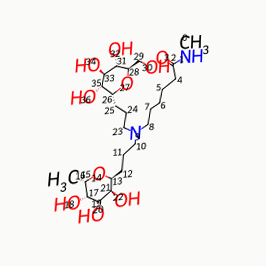 CNC(=O)CCCCCN(CCC[C@@H]1O[C@@H](C)[C@@H](O)[C@@H](O)[C@@H]1O)CCC[C@H]1O[C@H](CO)[C@@H](O)[C@H](O)[C@H]1O